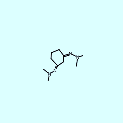 CN(C)N=C1CCCC(=NN(C)C)C1